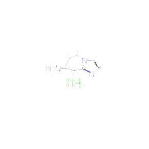 Cl.Cl.NC1CCn2ccnc2C1